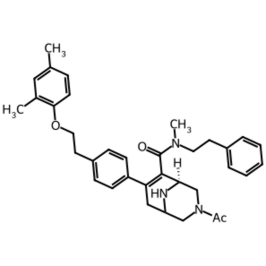 CC(=O)N1CC2CC(c3ccc(CCOc4ccc(C)cc4C)cc3)=C(C(=O)N(C)CCc3ccccc3)[C@@H](C1)N2